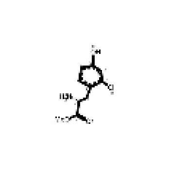 COC(=O)[C@H](N)Cc1ccc(O)cc1Cl